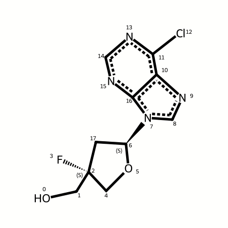 OC[C@]1(F)CO[C@H](n2cnc3c(Cl)ncnc32)C1